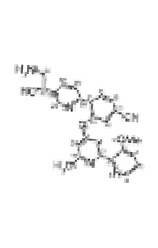 COc1cccnc1-c1cc(Oc2cc(C#N)ccc2-c2ccc(C(O)CN)cn2)cc(C)n1